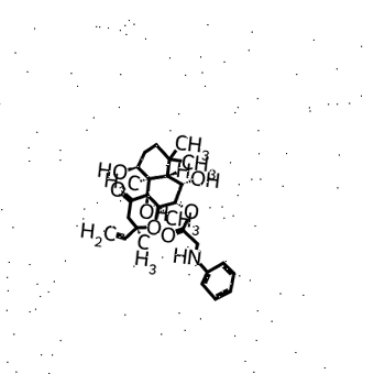 C=C[C@@]1(C)CC(=O)[C@]2(O)[C@@]3(C)[C@@H](O)CCC(C)(C)[C@@H]3[C@H](O)[C@H](OC(=O)CNc3ccccc3)[C@@]2(C)O1